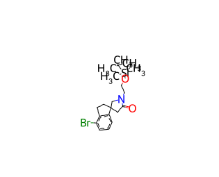 CC(C)(C)[Si](C)(C)OCCN1CC2(CCc3c(Br)cccc32)CC1=O